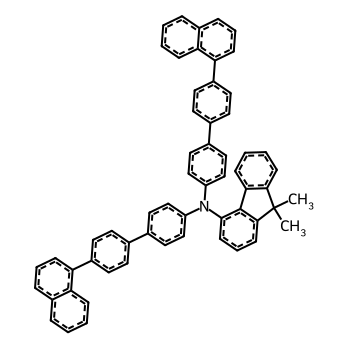 CC1(C)c2ccccc2-c2c(N(c3ccc(-c4ccc(-c5cccc6ccccc56)cc4)cc3)c3ccc(-c4ccc(-c5cccc6ccccc56)cc4)cc3)cccc21